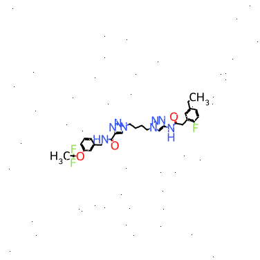 CCc1ccc(F)c(CC(=O)Nc2cn(CCCCn3cc(C(=O)NCc4cccc(OC(C)(F)F)c4)nn3)nn2)c1